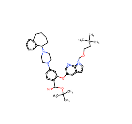 CC(C)(C)OC(O)c1ccc(N2CCN([C@@H]3CCCCc4ccccc43)CC2)cc1Oc1cnc2c(ccn2COCC[Si](C)(C)C)c1